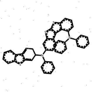 C1=c2sc3ccccc3c2=CCC1N(c1ccccc1)c1ccc2c(c1)sc1sc3cccc(N(c4ccccc4)c4ccccc4)c3c12